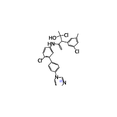 C=CN(/C=N\C)c1ccc(-c2cc(NC(=C)C(c3cc(C)cc(Cl)c3)C(C)(O)Cl)ccc2Cl)cc1